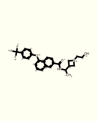 CC(NC(=O)c1ccc2c(Oc3ccc(C(F)(F)F)cc3)cccc2c1)C1CN(CCO)C1